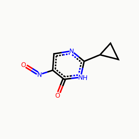 O=Nc1cnc(C2CC2)[nH]c1=O